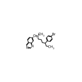 CCC(CCCN(C)Oc1ccc2cncnc2c1)c1ccc(Br)cc1